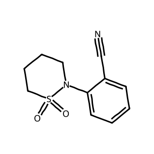 N#Cc1ccccc1N1CCCCS1(=O)=O